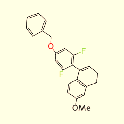 COc1ccc2c(c1)CCC=C2c1c(F)cc(OCc2ccccc2)cc1F